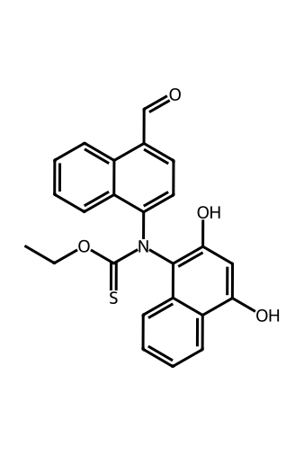 CCOC(=S)N(c1ccc(C=O)c2ccccc12)c1c(O)cc(O)c2ccccc12